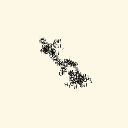 CCN(CCO)CC[C@H](CSc1ccccc1)Nc1ccc(S(=O)(=O)NC(=O)c2ccc(N3CCN(CC4=C(c5ccc(Cl)cc5)CCC(C)(CN5CCN(C(=O)CCCCCCC(=O)N[C@H](C(=O)N6C[C@H](O)C[C@H]6C(=O)N[C@@H](C)c6ccc(-c7scnc7C)cc6)C(C)(C)C)CC5)C4)CC3)cc2)cc1S(=O)(=O)C(F)(F)F